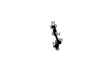 C/N=C1/C(N=O)=CC=C(NC2=CC=CC[C@@H]2C(=O)NCCCCCNC(=O)c2ccc(/C=C3\SC(=S)NC3=O)cc2)C1C